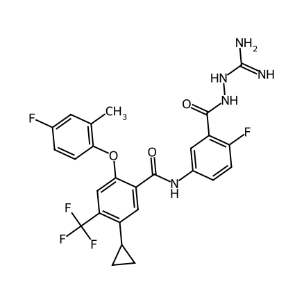 Cc1cc(F)ccc1Oc1cc(C(F)(F)F)c(C2CC2)cc1C(=O)Nc1ccc(F)c(C(=O)NNC(=N)N)c1